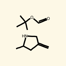 C=C1CNC(C)C1.CC(C)(C)OC=O